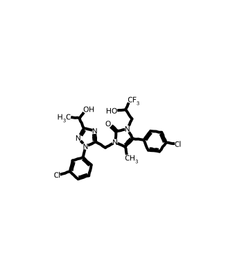 Cc1c(-c2ccc(Cl)cc2)n(CC(O)C(F)(F)F)c(=O)n1Cc1nc(C(C)O)nn1-c1cccc(Cl)c1